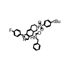 CC(C)(C)c1ccc(S(=O)(=O)N2CCC3=Cc4c(cnn4-c4ccc(F)cc4)C[C@]3(C(=O)NCc3ccccc3)C2)cc1